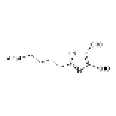 CCCCCCCCCCCc1nc(C=O)c(C=O)[nH]1